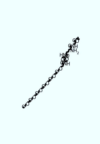 COCCOCCOCCOCCOCCOCCOCCOCCOCCOCCOCCOCCC(=O)N[C@H]1CO[C@H]2[C@@H]1OC[C@@H]2NC(=O)CCC[C@H](N)C(=O)NCCC(=O)OC(C)(C)C